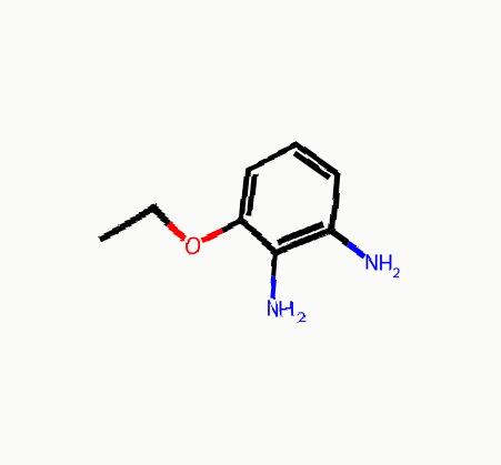 CCOc1cccc(N)c1N